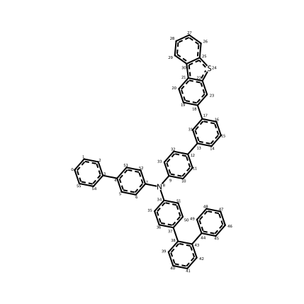 c1ccc(-c2ccc(N(c3ccc(-c4cccc(-c5ccc6c(c5)sc5ccccc56)c4)cc3)c3ccc(-c4ccccc4-c4ccccc4)cc3)cc2)cc1